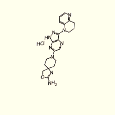 Cl.NC1=NC2(CCN(c3cnc4c(N5CCCc6ncccc65)n[nH]c4n3)CC2)CO1